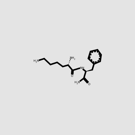 NCCCC[C@H](N)C(=O)N[C@@H](Cc1ccccc1)C(N)=O